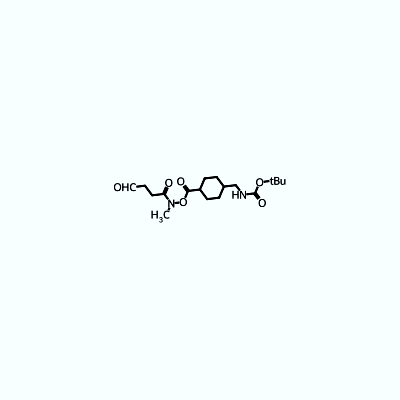 CN(OC(=O)C1CCC(CNC(=O)OC(C)(C)C)CC1)C(=O)CCC=O